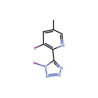 Cc1cnc(-c2nnnn2I)c(I)c1